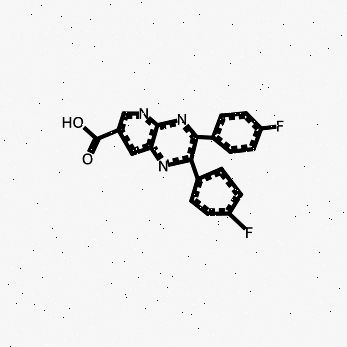 O=C(O)c1cnc2nc(-c3ccc(F)cc3)c(-c3ccc(F)cc3)nc2c1